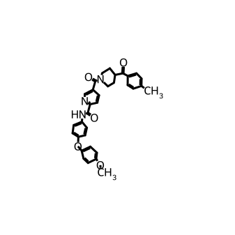 COc1ccc(Oc2ccc(NC(=O)c3ccc(C(=O)N4CCC(C(=O)c5ccc(C)cc5)CC4)cn3)cc2)cc1